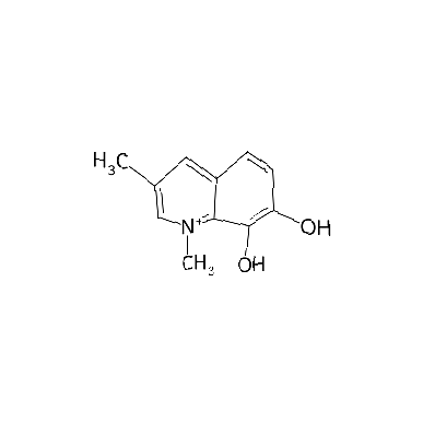 Cc1cc2ccc(O)c(O)c2[n+](C)c1